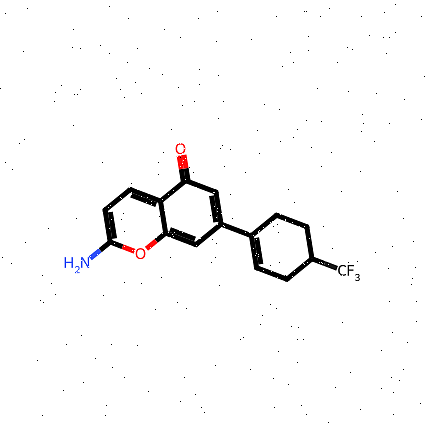 Nc1ccc2c(=O)cc(C3=CCC(C(F)(F)F)CC3)cc-2o1